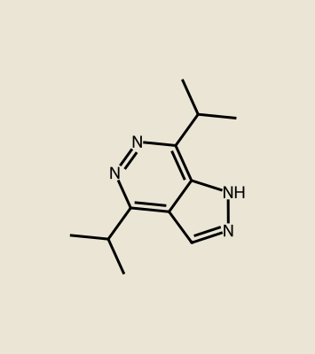 CC(C)c1nnc(C(C)C)c2[nH]ncc12